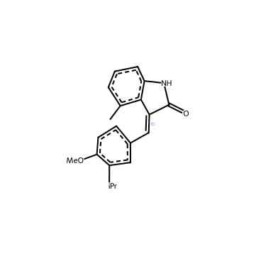 COc1ccc(/C=C2/C(=O)Nc3cccc(C)c32)cc1C(C)C